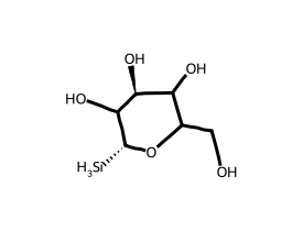 OCC1O[C@H]([SiH3])C(O)[C@@H](O)C1O